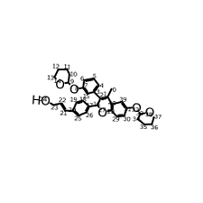 CC1=C(c2cccc(OC3CCCCO3)c2)C(c2ccc(C=CCO)cc2)Oc2ccc(OC3CCCCO3)cc21